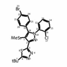 CSc1c(-c2nnc(C(C)(C)C)s2)nn(-c2ccccc2Cl)c1-c1ccc(Br)cc1